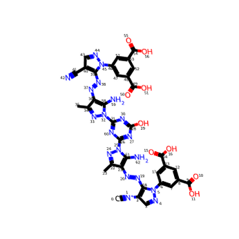 [C-]#[N+]c1cnn(-c2cc(C(=O)O)cc(C(=O)O)c2)c1N=Nc1c(C)nn(-c2nc(O)nc(-n3nc(C)c(N=Nc4c(C#N)cnn4-c4cc(C(=O)O)cc(C(=O)O)c4)c3N)n2)c1N